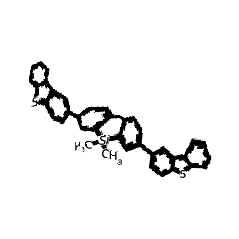 C[Si]1(C)c2cc(-c3ccc4sc5ccccc5c4c3)ccc2-c2ccc(-c3ccc4sc5ccccc5c4c3)cc21